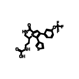 O=C(O)NCCC1CNC(=O)c2cc(-c3cccc(OC(F)(F)F)c3)c(-c3ccsc3)n21